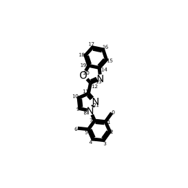 Cc1cccc(C)c1-n1ccc(-c2nc3ccccc3o2)n1